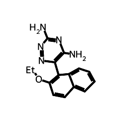 CCOc1ccc2ccccc2c1-c1nnc(N)nc1N